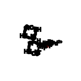 C1=Cc2cc3ccc(cc4nc(cc5ccc(cc1n2)[nH]5)C=C4)[nH]3.C1=Cc2cc3ccc(cc4nc(cc5ccc(cc1n2)[nH]5)C=C4)[nH]3.F[P-](F)(F)(F)(F)F.F[P-](F)(F)(F)(F)F.[Pd+2]